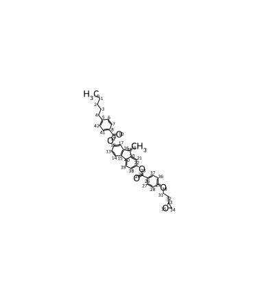 CCCCCc1ccc(C(=O)Oc2ccc3c(c2)C(C)c2cc(OC(=O)c4ccc(OCCC5CO5)cc4)ccc2-3)cc1